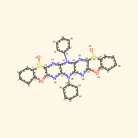 [O-][s+]1c2ccccc2oc2nc3c(nc21)n(-c1ccccc1)c1nc2c(nc1n3-c1ccccc1)oc1ccccc1[s+]2[O-]